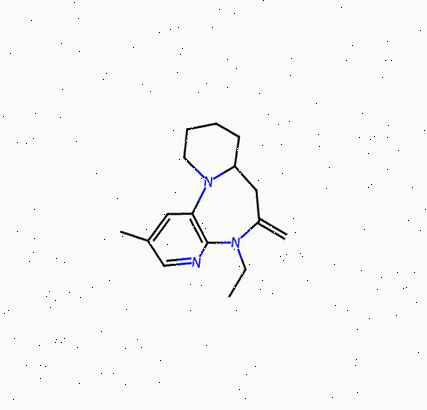 C=C1CC2CCCCN2c2cc(C)cnc2N1CC